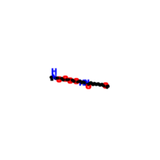 CC(C)NCCOCCOCCOCCOCCCCCNC(=O)CCCCCCCCOC(C)C